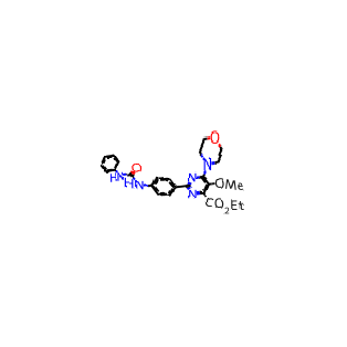 CCOC(=O)c1nc(-c2ccc(NC(=O)Nc3ccccc3)cc2)nc(N2CCOCC2)c1OC